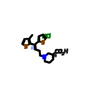 Cc1ccsc1/C(=C/CCN1CCC[C@H](C(=O)O)C1)c1cccs1.Cl